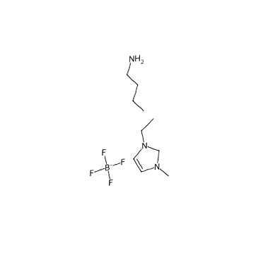 CCCCN.CCN1C=CN(C)C1.F[B-](F)(F)F